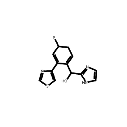 OC(C1=CCC(F)C=C1c1cscn1)c1ncc[nH]1